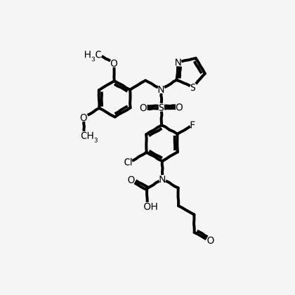 COc1ccc(CN(c2nccs2)S(=O)(=O)c2cc(Cl)c(N(CCCC=O)C(=O)O)cc2F)c(OC)c1